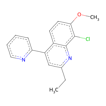 CCc1cc(-c2ccccn2)c2ccc(OC)c(Cl)c2n1